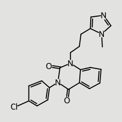 Cn1cncc1CCCn1c(=O)n(-c2ccc(Cl)cc2)c(=O)c2ccccc21